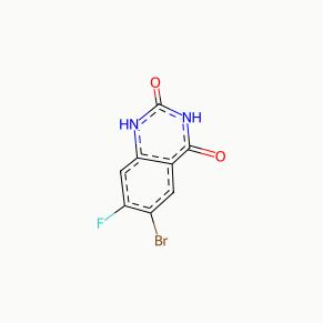 O=c1[nH]c(=O)c2cc(Br)c(F)cc2[nH]1